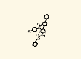 O=C(Nc1ncc2c3ccc(N4CCCCC4)cc3c(=O)n(C3CCC(O)CC3)c2n1)OCc1ccccc1